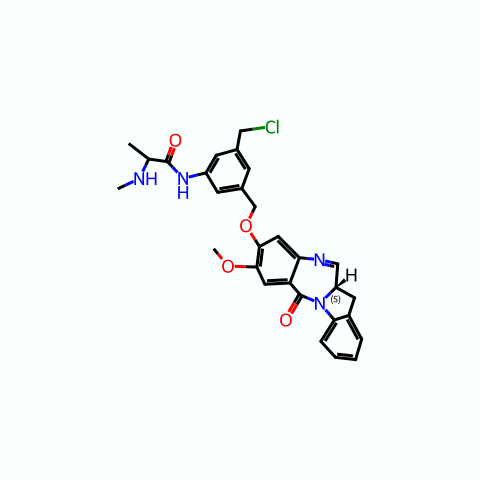 CNC(C)C(=O)Nc1cc(CCl)cc(COc2cc3c(cc2OC)C(=O)N2c4ccccc4C[C@H]2C=N3)c1